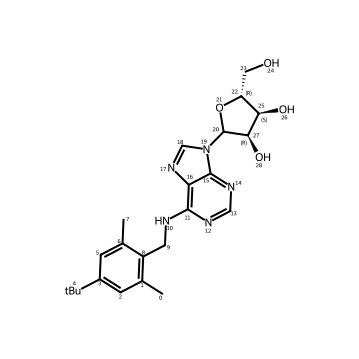 Cc1cc(C(C)(C)C)cc(C)c1CNc1ncnc2c1ncn2C1O[C@H](CO)[C@@H](O)[C@H]1O